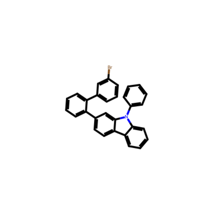 Brc1cccc(-c2ccccc2-c2ccc3c4ccccc4n(-c4ccccc4)c3c2)c1